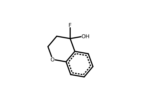 OC1(F)CCOc2ccccc21